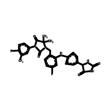 CC1(C)C(=O)N(c2ccc(F)c(C(F)(F)F)c2)C(=O)N1Cc1ccc(F)cc1Nc1ccc(C2NC(=O)NC2=O)cc1